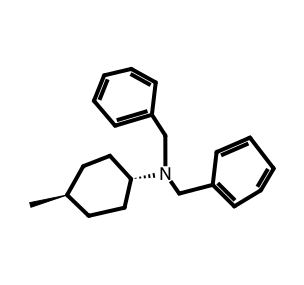 C[C@H]1CC[C@H](N(Cc2ccccc2)Cc2ccccc2)CC1